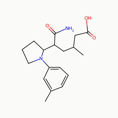 Cc1cccc(N2CCCC2C(CC(C)CC(=O)O)C(N)=O)c1